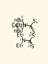 CCCCN(CCCC)C(=S)[S-].CCN(CC)C(=S)[S-].[Cu+2].[Cu+2]